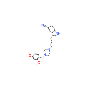 COc1ccc(CN2CCN(CCCCc3c[nH]c4ccc(C#N)cc34)CC2)c(OC)c1